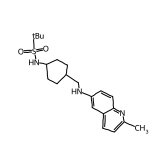 Cc1ccc2cc(NCC3CCC(NS(=O)(=O)C(C)(C)C)CC3)ccc2n1